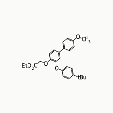 CCOC(=O)COc1ccc(-c2ccc(OC(F)(F)F)cc2)cc1Oc1ccc(C(C)(C)C)cc1